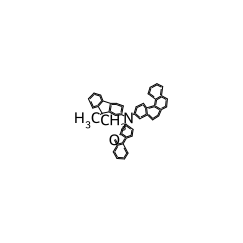 CC1(C)c2ccccc2-c2ccc(N(c3ccc4c(ccc5ccc6ccccc6c54)c3)c3ccc4c(c3)oc3ccccc34)cc21